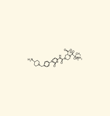 CC(C)(N)C(=O)N1CCN(C(=O)Nc2ccn(-c3ccc(CN4CCC(N)CC4)cc3)c(=O)n2)CC1C(=O)O